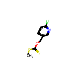 CSC(=S)OCc1ccc(Cl)nc1